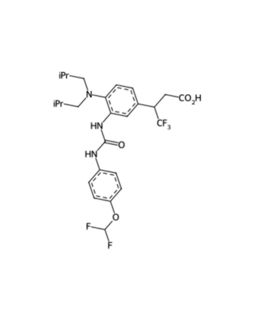 CC(C)CN(CC(C)C)c1ccc(C(CC(=O)O)C(F)(F)F)cc1NC(=O)Nc1ccc(OC(F)F)cc1